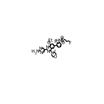 CCOc1cc(-c2cccc(NS(=O)(=O)CCCF)c2F)cc2c(N3CCOC[C@@H]3C)nc(-c3cnc(N)nc3)nc12